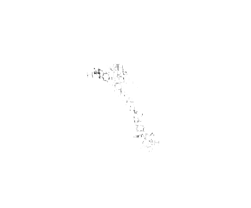 COc1cc(N2CCC3(CCN(C(=O)CN4Cc5cc6c(cc5C4)C(=O)N(C4CCC(=O)NC4=O)C6=O)CC3)CC2)ccc1[C@@H]1c2ccc3[nH]ncc3c2C[C@@H](C)N1CC(F)F